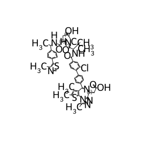 Cc1ncsc1-c1ccc(C(C)NC(=O)[C@@H]2C[C@@H](O)CN2C(=O)C(NC(=O)c2ccc(-c3ccc(C4=N[C@@H](CC(=O)O)c5nnc(C)n5-c5sc(C)c(C)c54)cc3)c(Cl)c2)C(C)(C)C)cc1